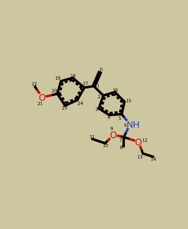 C=C(c1ccc(NC(C)(OCC)OCC)cc1)c1ccc(OC)cc1